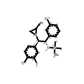 CC(C)C1CN1[C@H](c1ccc(Cl)c(F)c1)[C@@H](O[Si](C)(C)C(C)(C)C)c1cccc(Cl)c1